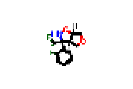 Fc1ccccc1[C@]1(C(F)F)NO[C@H]2COC[C@H]21